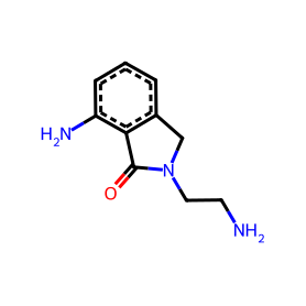 NCCN1Cc2cccc(N)c2C1=O